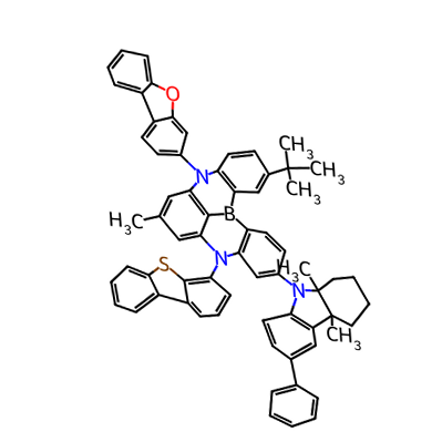 Cc1cc2c3c(c1)N(c1cccc4c1sc1ccccc14)c1cc(N4c5ccc(-c6ccccc6)cc5C5(C)CCCCC45C)ccc1B3c1cc(C(C)(C)C)ccc1N2c1ccc2c(c1)oc1ccccc12